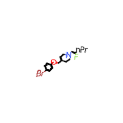 CCCC(F)CN1CCC(COc2ccc(Br)cc2)CC1